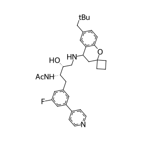 CC(=O)N[C@@H](Cc1cc(F)cc(-c2ccncc2)c1)[C@H](O)CNC1CC2(CCC2)Oc2ccc(CC(C)(C)C)cc21